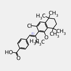 COc1c(/C(C)=C/c2ccc(C(=O)O)cc2)c(Cl)cc2c1C(C)(C)CCC2(C)C